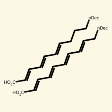 CCCCCCCCCCCC=CC=CC=CC=CC(=O)O.CCCCCCCCCCCCCC=CC=CC=CC(=O)O